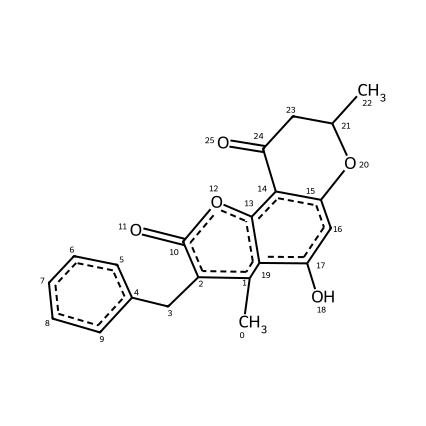 Cc1c(Cc2ccccc2)c(=O)oc2c3c(cc(O)c12)OC(C)CC3=O